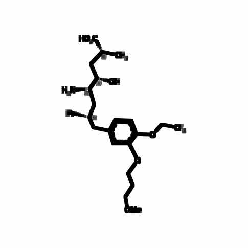 COCCCOc1cc(C[C@@H](C[C@H](N)[C@@H](O)C[C@@H](C)C(=O)O)C(C)C)ccc1OCC(F)(F)F